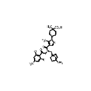 Cc1cc(Cl)c(C(=O)CN(CC23CCC(C)(CC2)O3)C(=O)c2cnn(C3CCC(C)(C(=O)O)CC3)c2C(F)(F)F)c(Cl)c1